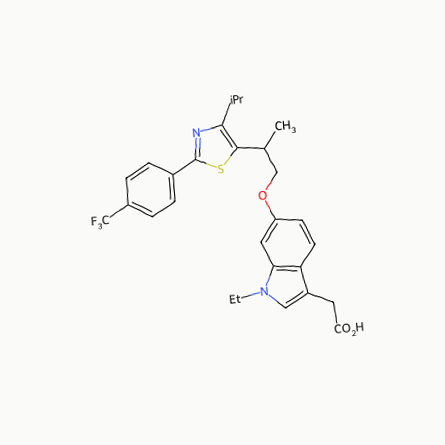 CCn1cc(CC(=O)O)c2ccc(OCC(C)c3sc(-c4ccc(C(F)(F)F)cc4)nc3C(C)C)cc21